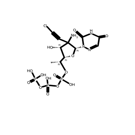 C[C@@H](OP(=O)(O)OP(=O)(O)OP(=O)(O)O)[C@H]1O[C@@H](n2ncc(=O)[nH]c2=O)C(N)(C#CCl)[C@H]1O